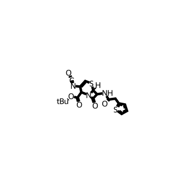 CC(C)(C)OC(=O)C1C(N=C=O)=CS[C@@H]2C(NC(=O)Cc3cccs3)C(=O)N12